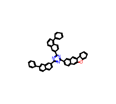 c1ccc(-c2ccc3ccc(-c4nc(-c5ccc6cc7oc8ccccc8c7cc6c5)nc(-c5ccc6c(-c7ccccc7)cccc6c5)n4)cc3c2)cc1